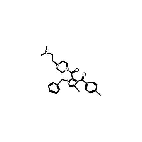 Cc1ccc(C(=O)c2c(C)cn(Cc3ccccc3)c2C(=O)N2CCN(CCN(C)C)CC2)cc1